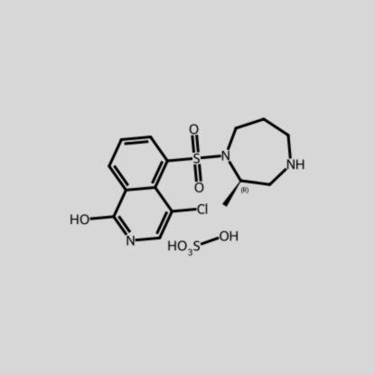 C[C@@H]1CNCCCN1S(=O)(=O)c1cccc2c(O)ncc(Cl)c12.O=S(=O)(O)O